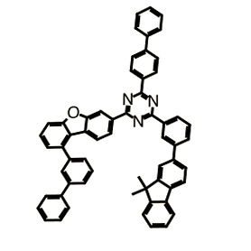 CC1(C)c2ccccc2-c2ccc(-c3cccc(-c4nc(-c5ccc(-c6ccccc6)cc5)nc(-c5ccc6c(c5)oc5cccc(-c7cccc(-c8ccccc8)c7)c56)n4)c3)cc21